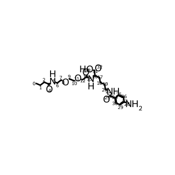 CCCC(=O)NCCOCCOCC(=O)NC(CCCCNC(=O)c1ccc(N)cc1)C(=O)O